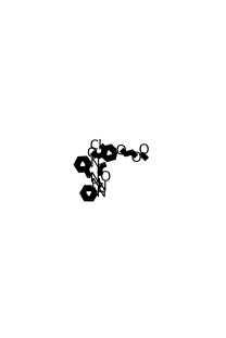 CC(=O)OCCOc1ccc(C(=O)N2c3ccccc3CN(n3nnc4ccccc43)C(=O)C2C)c(Cl)c1